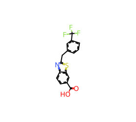 O=C(O)c1ccc2nc(Cc3cccc(C(F)(F)F)c3)sc2c1